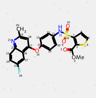 COC(=O)c1sccc1S(=O)(=O)Nc1ccc(Oc2cc(C)nc3ccc(F)cc23)cc1